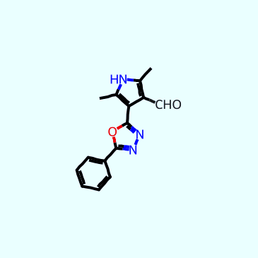 Cc1[nH]c(C)c(-c2nnc(-c3ccccc3)o2)c1C=O